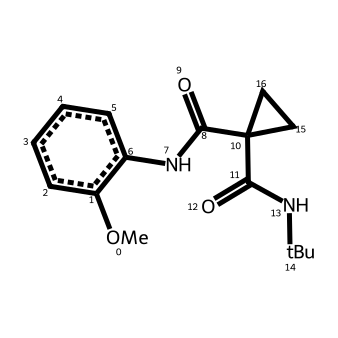 COc1ccccc1NC(=O)C1(C(=O)NC(C)(C)C)CC1